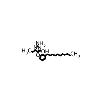 CCCCCCCCCCCc1cccc(Oc2c(O)nc(N)nc2CC)c1